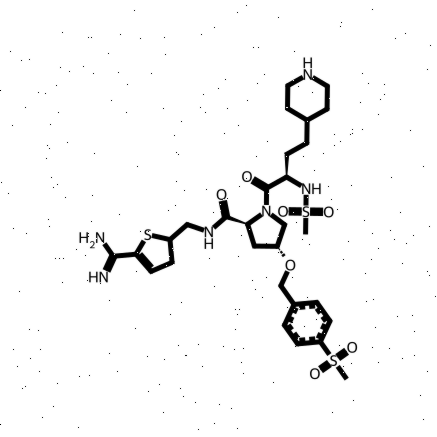 CS(=O)(=O)N[C@H](CCC1CCNCC1)C(=O)N1C[C@H](OCc2ccc(S(C)(=O)=O)cc2)C[C@H]1C(=O)NCC1CC=C(C(=N)N)S1